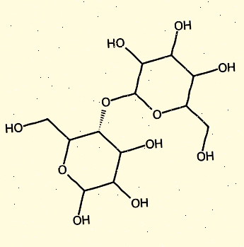 OCC1OC(O[C@H]2C(CO)OC(O)C(O)C2O)C(O)C(O)C1O